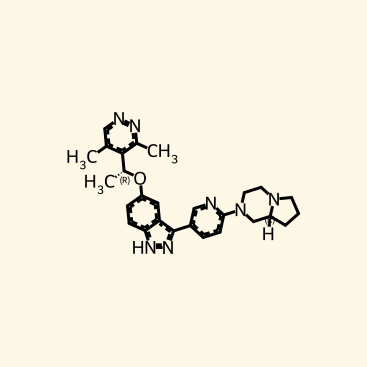 Cc1cnnc(C)c1[C@@H](C)Oc1ccc2[nH]nc(-c3ccc(N4CCN5CCC[C@@H]5C4)nc3)c2c1